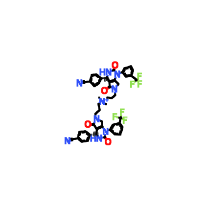 C[N+](C)(CCCN1CC2=C(C1=O)[C@@H](c1ccc(C#N)cc1)NC(=O)N2c1cccc(C(F)(F)F)c1)CCCN1CC2=C(C1=O)[C@@H](c1ccc(C#N)cc1)NC(=O)N2c1cccc(C(F)(F)F)c1